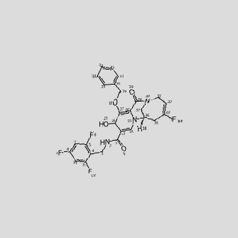 O=C(NCc1c(F)cc(F)cc1F)C1=CN2C(=C(OCc3ccccc3)C1O)C(=O)N1CC=C(F)C[C@H]2C1